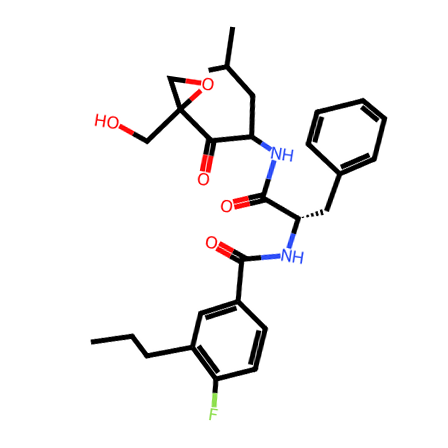 CCCc1cc(C(=O)N[C@@H](Cc2ccccc2)C(=O)NC(CC(C)C)C(=O)C2(CO)CO2)ccc1F